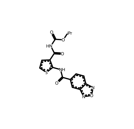 CC(C)OC(=O)NC(=O)c1ccsc1NC(=O)c1ccc2nonc2c1